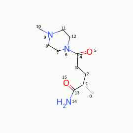 C[C@@H](C[CH]C(=O)N1CCN(C)CC1)C(N)=O